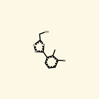 Cc1c(Br)cccc1-c1noc(CO)n1